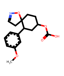 COc1cccc(C2CC(OC(=O)O)CCC23CC=NO3)c1